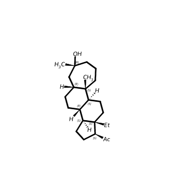 CC[C@]12CC[C@H]3[C@@H](CC[C@@H]4C[C@](C)(O)CCC[C@@]43C)[C@@H]1CC[C@@H]2C(C)=O